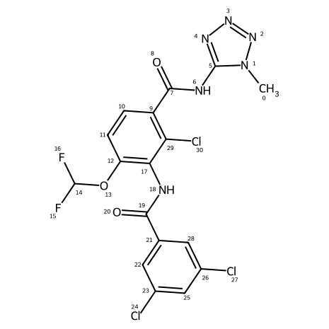 Cn1nnnc1NC(=O)c1ccc(OC(F)F)c(NC(=O)c2cc(Cl)cc(Cl)c2)c1Cl